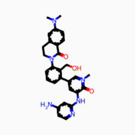 CN(C)c1ccc2c(c1)CCN(c1cccc(-c3cc(Nc4cc(N)ccn4)c(=O)n(C)c3)c1CO)C2=O